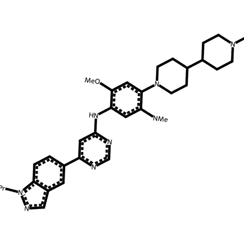 CNc1cc(Nc2cc(-c3ccc4c(cnn4C(C)C)c3)ncn2)c(OC)cc1N1CCC(C2CCN(C)CC2)CC1